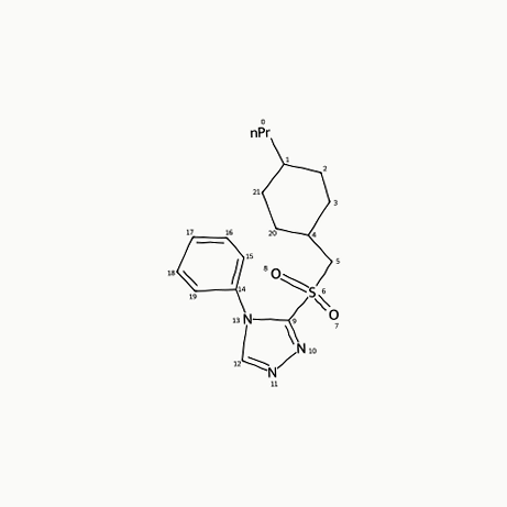 CCCC1CCC(CS(=O)(=O)c2nncn2-c2ccccc2)CC1